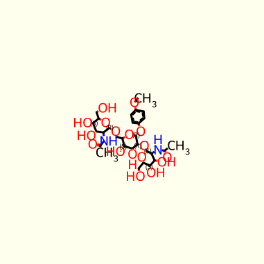 COc1ccc(O[C@H]2OC(CO[C@@H]3OC(CO)[C@@H](O)C(O)C3NC(C)=O)[C@@H](O)C(O)[C@H]2O[C@@H]2OC(CO)[C@@H](O)C(O)C2NC(C)=O)cc1